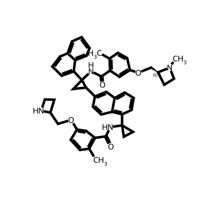 Cc1ccc(OCC2CCN2)cc1C(=O)NC1(c2cccc3cc(C4CC4(NC(=O)c4cc(OC[C@@H]5CCN5C)ccc4C)c4cccc5ccccc45)ccc23)CC1